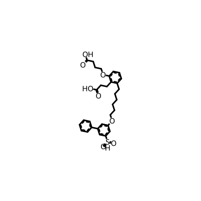 O=C(O)CCCOc1cccc(CCCCCCOc2cc(-c3ccccc3)cc([SH](=O)=O)c2)c1CCC(=O)O